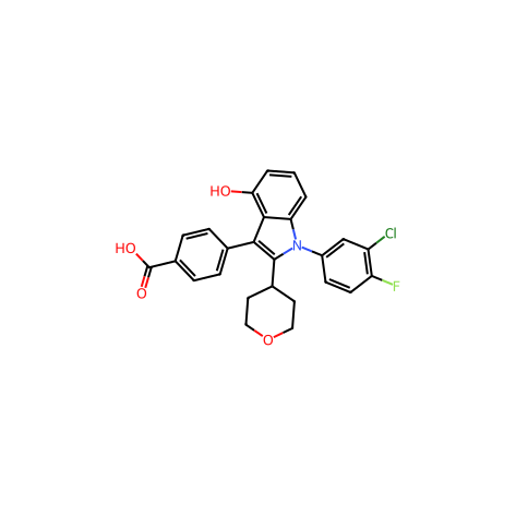 O=C(O)c1ccc(-c2c(C3CCOCC3)n(-c3ccc(F)c(Cl)c3)c3cccc(O)c23)cc1